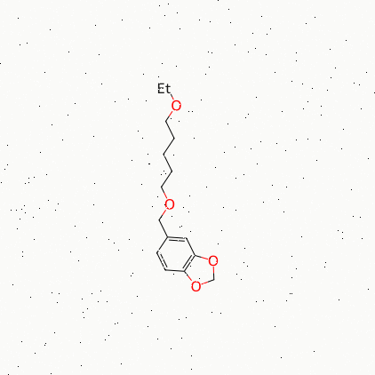 CCOCCCCCOCc1ccc2c(c1)OCO2